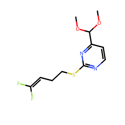 COC(OC)c1ccnc(SCCC=C(F)F)n1